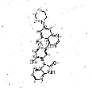 O=C1Nc2nccnc2C1c1cc(-c2ncnc3cc(N4CCOCC4)ccc23)c(F)cc1Cl